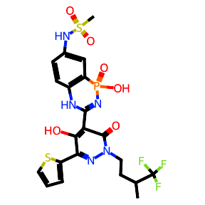 CC(CCn1nc(-c2cccs2)c(O)c(C2=NP(=O)(O)c3cc(NS(C)(=O)=O)ccc3N2)c1=O)C(F)(F)F